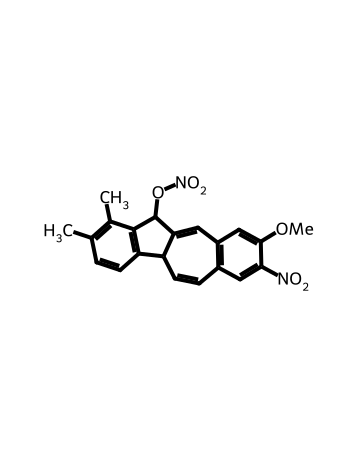 COc1cc2c(cc1[N+](=O)[O-])C=CC1C(=C2)C(O[N+](=O)[O-])c2c1ccc(C)c2C